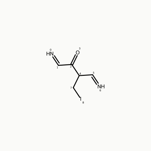 N=CC(=O)C(C=N)CI